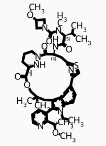 CCn1c(-c2cccnc2[C@H](C)OC)c2c3cc(ccc31)-c1csc(n1)C[C@H](NC(=O)[C@H](C(C)C)N(C)C(=O)N1CC(OC)C1)C(=O)N1CCC[C@H](N1)C(=O)OCC(C)(C)C2